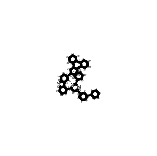 c1ccc(-c2cccc(-c3cc(-c4cccc5sc6ccc(-c7ccc8c9ccccc9c9ccccc9c8c7)cc6c45)nc(-c4ccccc4)n3)c2)cc1